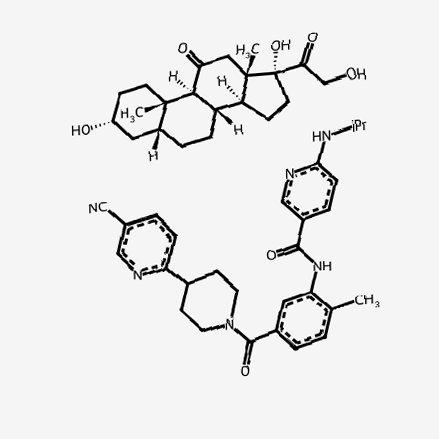 C[C@]12CC[C@@H](O)C[C@H]1CC[C@@H]1[C@@H]2C(=O)C[C@@]2(C)[C@H]1CC[C@]2(O)C(=O)CO.Cc1ccc(C(=O)N2CCC(c3ccc(C#N)cn3)CC2)cc1NC(=O)c1ccc(NC(C)C)nc1